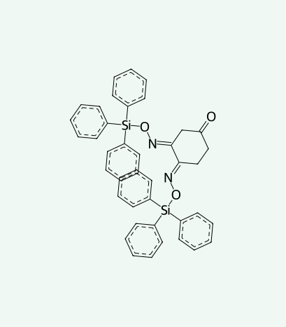 O=C1CCC(=NO[Si](c2ccccc2)(c2ccccc2)c2ccccc2)C(=NO[Si](c2ccccc2)(c2ccccc2)c2ccccc2)C1